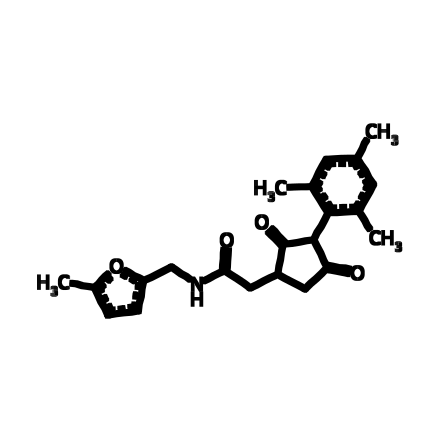 Cc1cc(C)c(C2C(=O)CC(CC(=O)NCc3ccc(C)o3)C2=O)c(C)c1